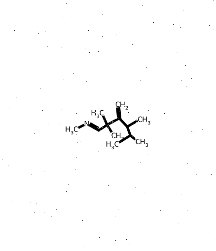 C=C(C(C)C(C)C)C(C)(C)/C=N/C